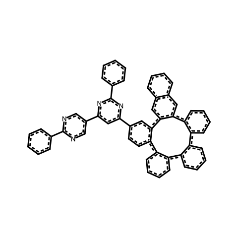 c1ccc(-c2ncc(-c3cc(-c4ccc5c6ccccc6c6ccccc6c6ccccc6c6cc7ccccc7cc6c5c4)nc(-c4ccccc4)n3)cn2)cc1